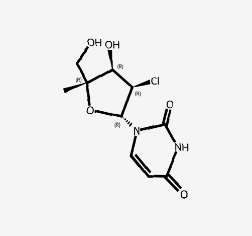 C[C@]1(CO)O[C@@H](n2ccc(=O)[nH]c2=O)[C@H](Cl)[C@@H]1O